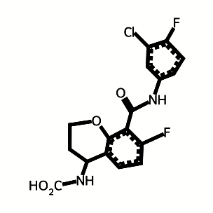 O=C(O)NC1CCOc2c1ccc(F)c2C(=O)Nc1ccc(F)c(Cl)c1